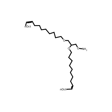 CCCCCCCC/C=C\CCCCCCCCOCC(CON)OCCCCCCCC/C=C\CCCCCCCC